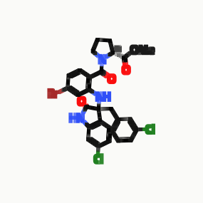 COC(=O)[C@H]1CCCN1C(=O)c1ccc(Br)cc1NC1(Cc2cccc(Cl)c2)C(=O)Nc2cc(Cl)ccc21